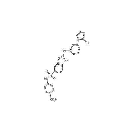 O=C(O)c1ccc(NS(=O)(=O)c2ccc3[nH]c(Nc4cccc(-n5ccsc5=O)c4)nc3c2)cc1